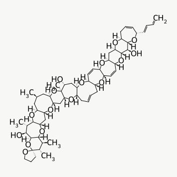 C=C/C=C/[C@H]1C=CC[C@@H]2O[C@@H]3C[C@@H]4O[C@@H]5C=C[C@@H]6O[C@@H]7C[C@@H](O)[C@]8(C)O[C@@H]9C[C@H](C)C[C@@H]%10O[C@@H]%11[C@@H](C)[C@H](O)[C@@H]%12O[C@@]%13(CCCO%13)[C@@H](C)[C@H](C)[C@H]%12O[C@H]%11C[C@H]%10O[C@H]9C[C@H]8O[C@H]7C/C=C/C[C@H]6O[C@H]5C=C[C@H]4O[C@H]3[C@H](O)[C@H]2O1